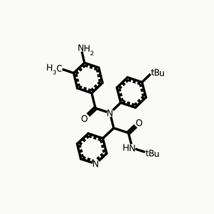 Cc1cc(C(=O)N(c2ccc(C(C)(C)C)cc2)C(C(=O)NC(C)(C)C)c2cccnc2)ccc1N